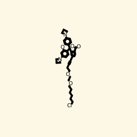 O=C1OC2(c3ccc(N4CCC4)cc3Oc3cc(N4CCC4)ccc32)c2cc(C#CCCOCCOCCCCCCCl)ccc21